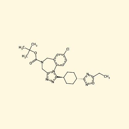 CCc1nc([C@H]2CC[C@H](c3nnc4n3-c3ccc(Cl)cc3CN(C(=O)OC(C)(C)C)C4)CC2)no1